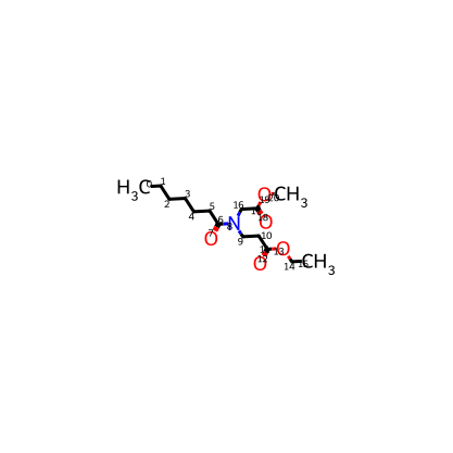 CCCCCCC(=O)N(CCC(=O)OCC)CC(=O)OC